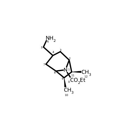 CCOC(=O)N1C2CC(CN)CC1[C@H](C)[C@@H]2C